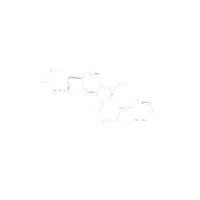 Nn1c2ccc3c4ccccc4oc3c2c2ccc3oc4ccccc4c3c21